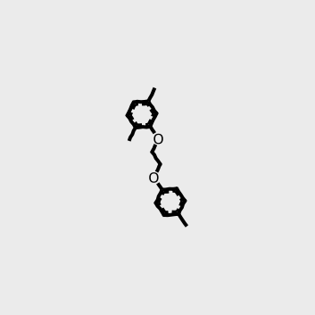 Cc1ccc(OCCOc2cc(C)ccc2C)cc1